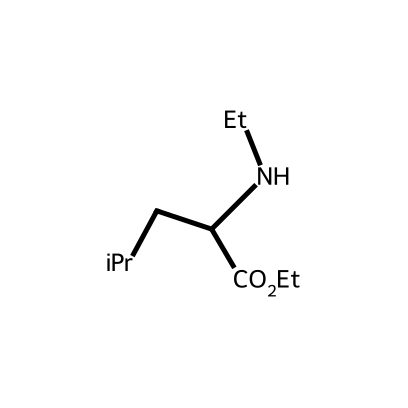 CCNC(CC(C)C)C(=O)OCC